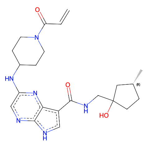 C=CC(=O)N1CCC(Nc2cnc3[nH]cc(C(=O)NCC4(O)CC[C@@H](C)C4)c3n2)CC1